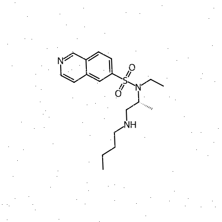 CCCCNC[C@@H](C)N(CC)S(=O)(=O)c1ccc2cnccc2c1